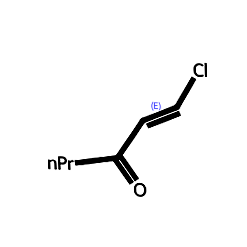 CCCC(=O)/C=C/Cl